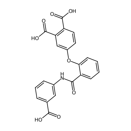 O=C(O)c1cccc(NC(=O)c2ccccc2Oc2ccc(C(=O)O)c(C(=O)O)c2)c1